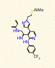 C=CC(=C)NCC(=N)c1c(-c2cnn(CCSNC)c2)ccnc1Nc1ccc(C(F)(F)F)cc1